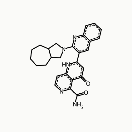 NC(=O)c1nccc2[nH]c(-c3cc4ccccc4nc3N3CC4CCCCCC4C3)cc(=O)c12